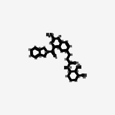 Nc1nc(C(=O)N2Cc3ccccc3C2)c2cc(CCC(=O)NC3CCCC(O)C3O)ccc2n1